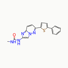 CNC(=O)Nc1cn2nc(-c3ccc(-c4ccccc4)s3)ccc2n1